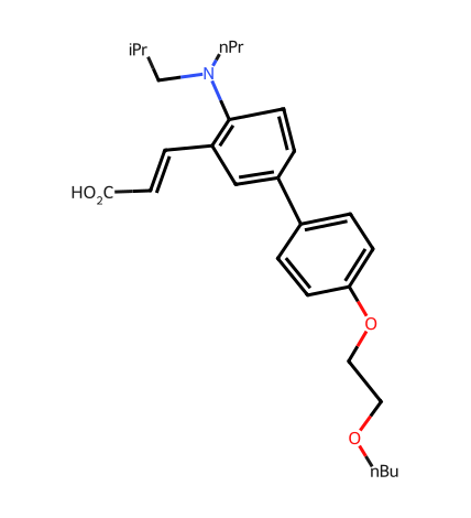 CCCCOCCOc1ccc(-c2ccc(N(CCC)CC(C)C)c(C=CC(=O)O)c2)cc1